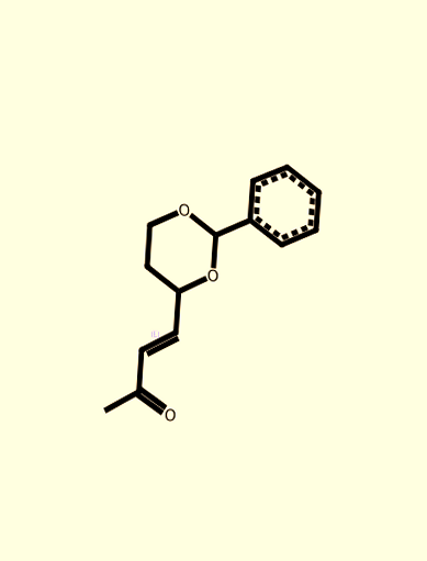 CC(=O)/C=C/C1CCOC(c2ccccc2)O1